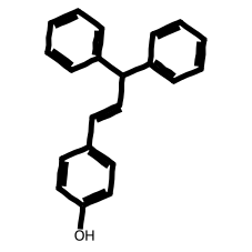 Oc1ccc(C=CC(c2ccccc2)c2ccccc2)cc1